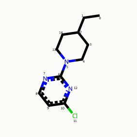 CCC1CCN(c2nccc(Cl)n2)CC1